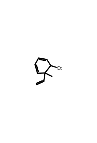 C=CC1(C)C=CC=CC1CC